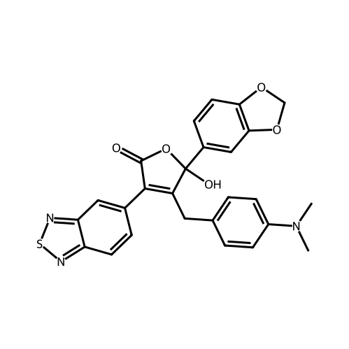 CN(C)c1ccc(CC2=C(c3ccc4nsnc4c3)C(=O)OC2(O)c2ccc3c(c2)OCO3)cc1